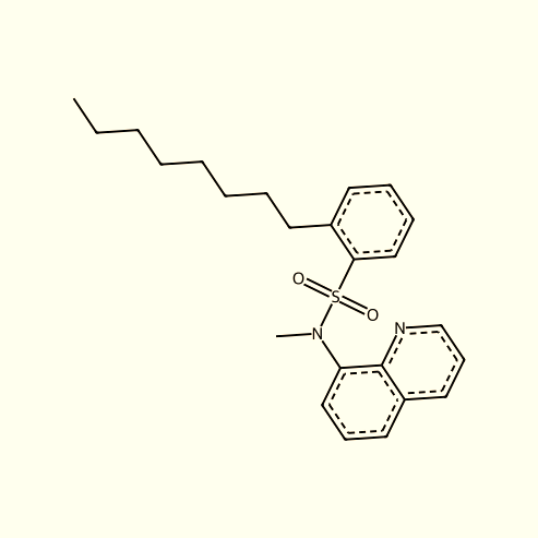 CCCCCCCCc1ccccc1S(=O)(=O)N(C)c1cccc2cccnc12